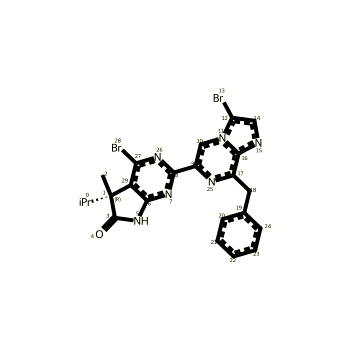 CC(C)[C@@]1(C)C(=O)Nc2nc(-c3cn4c(Br)cnc4c(Cc4ccccc4)n3)nc(Br)c21